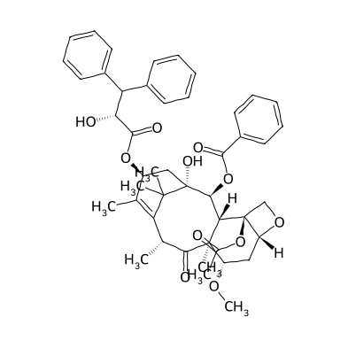 CO[C@H]1C[C@H]2OC[C@@]2(OC(C)=O)[C@H]2[C@H](OC(=O)c3ccccc3)[C@]3(O)C[C@H](OC(=O)[C@H](O)C(c4ccccc4)c4ccccc4)C(C)=C([C@@H](C)C(=O)[C@]12C)C3(C)C